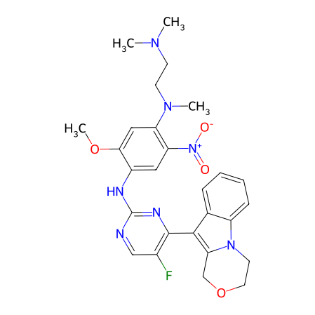 COc1cc(N(C)CCN(C)C)c([N+](=O)[O-])cc1Nc1ncc(F)c(-c2c3n(c4ccccc24)CCOC3)n1